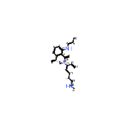 C=Cc1cccc(NCCC)c1C(=C)N(C)C(C=C)CCCCNC